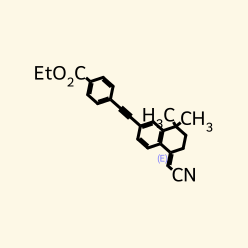 CCOC(=O)c1ccc(C#Cc2ccc3c(c2)C(C)(C)CC/C3=C\C#N)cc1